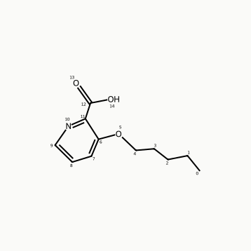 CCCCCOc1cccnc1C(=O)O